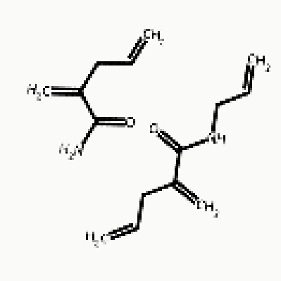 C=CCC(=C)C(N)=O.C=CCNC(=O)C(=C)CC=C